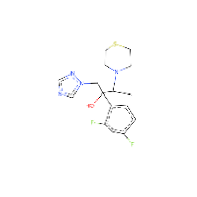 CC(N1CCSCC1)C(O)(Cn1cncn1)c1ccc(F)cc1F